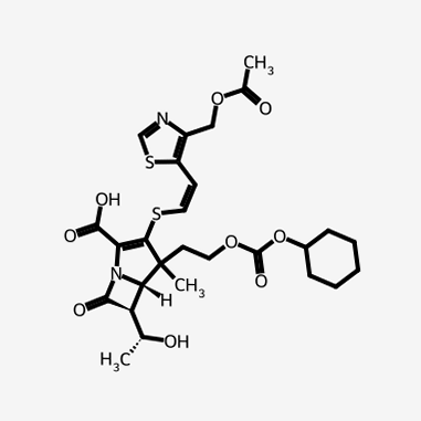 CC(=O)OCc1ncsc1/C=C\SC1=C(C(=O)O)N2C(=O)[C@H]([C@@H](C)O)[C@H]2C1(C)CCOC(=O)OC1CCCCC1